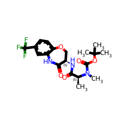 C[C@@H](C(=O)N[C@H]1COc2ccc(C(F)(F)F)cc2NC1=O)N(C)C(=O)OC(C)(C)C